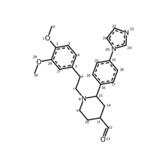 COc1ccc(CCN2CCC(C=O)CC2c2ccc(-n3ccnc3)cc2)cc1OC